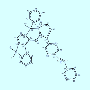 CC1(C)c2ccccc2-c2c1ccc1c2Oc2c(-c3ccc(/C=C/c4ccccc4)cc3)cccc2C1(C)c1ccccc1